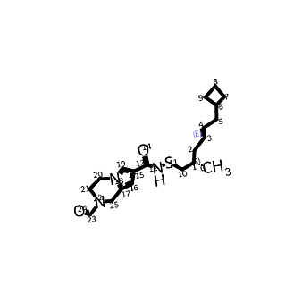 C[C@@H](C/C=C/CC1CCC1)CSNC(=O)c1cc2n(c1)CCN(C=O)C2